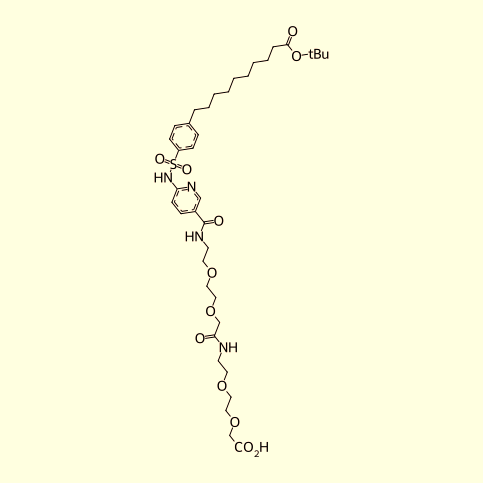 CC(C)(C)OC(=O)CCCCCCCCCc1ccc(S(=O)(=O)Nc2ccc(C(=O)NCCOCCOCC(=O)NCCOCCOCC(=O)O)cn2)cc1